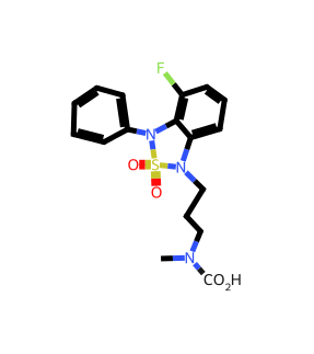 CN(CCCN1c2cccc(F)c2N(c2ccccc2)S1(=O)=O)C(=O)O